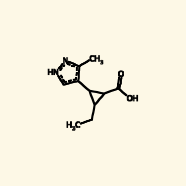 CCC1C(C(=O)O)C1c1c[nH]nc1C